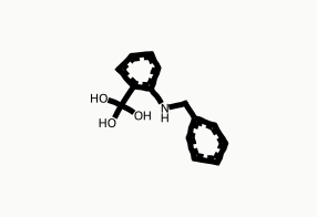 OC(O)(O)c1ccccc1NCc1ccccc1